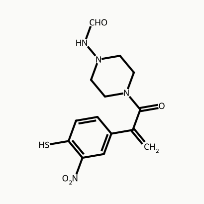 C=C(C(=O)N1CCN(NC=O)CC1)c1ccc(S)c([N+](=O)[O-])c1